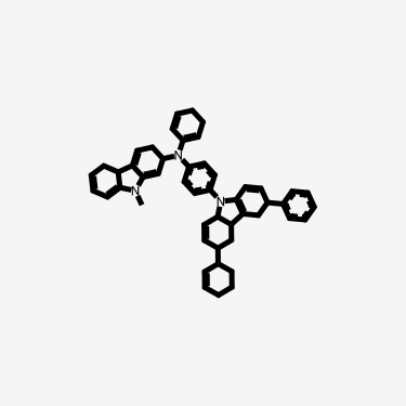 CN1C2=CC(N(C3=CCCC=C3)c3ccc(N4C5=C(CC(c6ccccc6)C=C5)C5CC(C6C=CCCC6)C=CC54)cc3)CC=C2C2CC=CC=C21